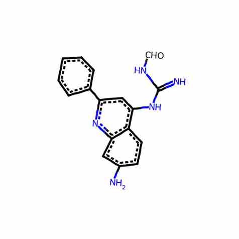 N=C(NC=O)Nc1cc(-c2ccccc2)nc2cc(N)ccc12